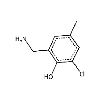 Cc1cc(Cl)c(O)c(CN)c1